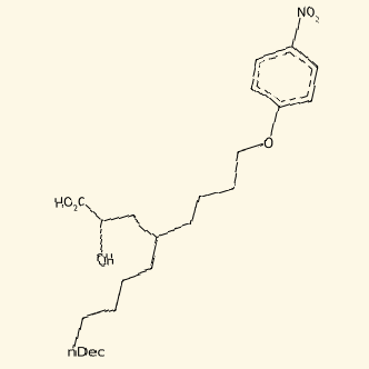 CCCCCCCCCCCCCCC(CCCCOc1ccc([N+](=O)[O-])cc1)CC(O)C(=O)O